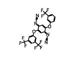 N#C/N=C1C=C(Oc2cc(C(F)(F)F)cc(C(F)(F)F)c2)/C(=N/C#N)C=C\1Oc1cccc(C(F)(F)F)c1